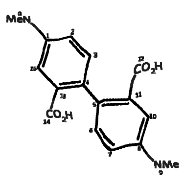 CNc1ccc(-c2ccc(NC)cc2C(=O)O)c(C(=O)O)c1